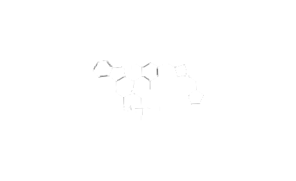 CC1Cc2c([nH]c3ccccc23)C(c2c(F)cc(OC3CN(CC4CCCC4)C3)cc2F)N1CC(C)(C)F